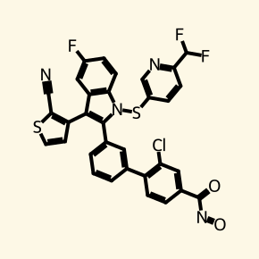 N#Cc1sccc1-c1c(-c2cccc(-c3ccc(C(=O)N=O)cc3Cl)c2)n(Sc2ccc(C(F)F)nc2)c2ccc(F)cc12